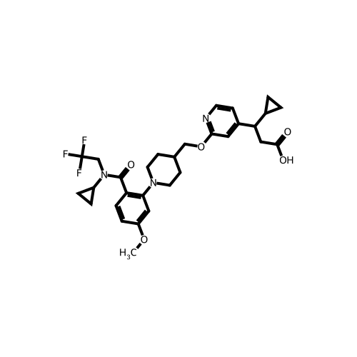 COc1ccc(C(=O)N(CC(F)(F)F)C2CC2)c(N2CCC(COc3cc(C(CC(=O)O)C4CC4)ccn3)CC2)c1